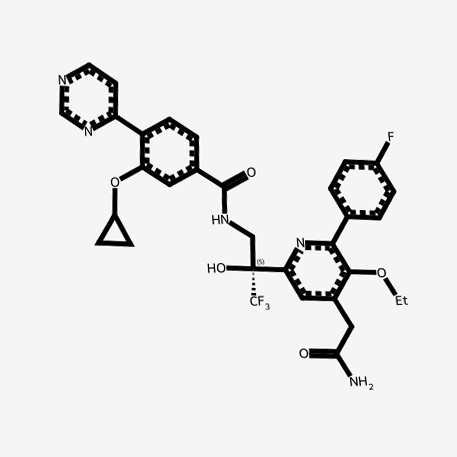 CCOc1c(CC(N)=O)cc([C@@](O)(CNC(=O)c2ccc(-c3ccncn3)c(OC3CC3)c2)C(F)(F)F)nc1-c1ccc(F)cc1